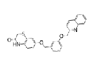 O=C1CSc2cc(OCc3cccc(OCc4ccc5ccccc5n4)c3)ccc2N1